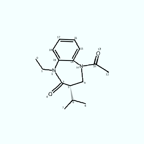 CCN1C(=O)[C@@H](C(C)C)CN(C(C)=O)c2ccccc21